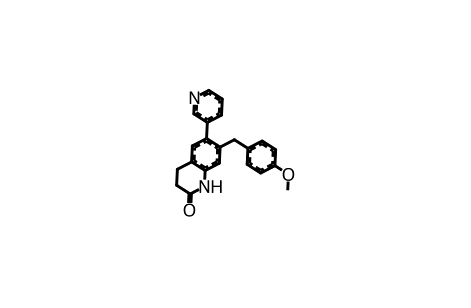 COc1ccc(Cc2cc3c(cc2-c2cccnc2)CCC(=O)N3)cc1